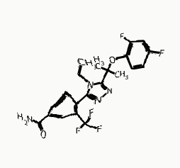 CCn1c(-c2ccc(C(N)=O)cc2C(F)(F)F)nnc1C(C)(C)Oc1ccc(F)cc1F